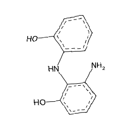 Nc1cccc(O)c1Nc1ccccc1O